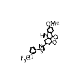 COc1ccc2c(=O)c3c([nH]c2c1)CC(c1csc(-c2cccc(OC(F)(F)F)c2)n1)CC3=O